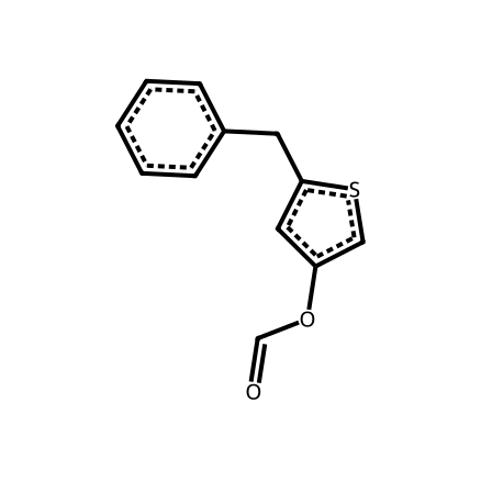 O=COc1csc(Cc2ccccc2)c1